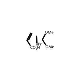 C=CC(=O)O.CCCC.COCOC